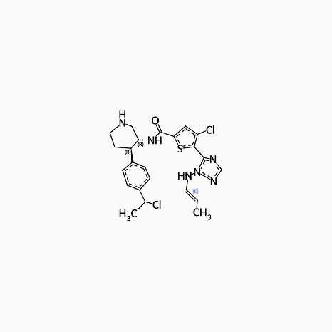 C/C=C/Nn1ncnc1-c1sc(C(=O)N[C@H]2CNCC[C@@H]2c2ccc(C(C)Cl)cc2)cc1Cl